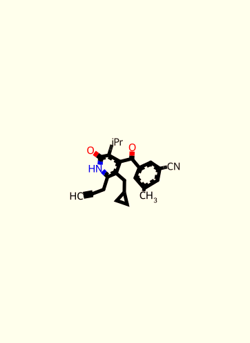 C#CCc1[nH]c(=O)c(C(C)C)c(C(=O)c2cc(C)cc(C#N)c2)c1CC1CC1